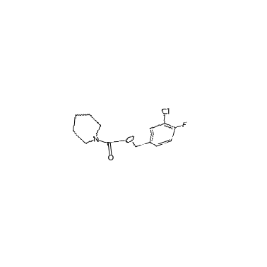 O=C(OCc1ccc(F)c(Cl)c1)N1CCCCC1